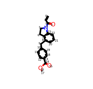 C=CC(=O)N1CCc2c(Cc3ccc(C(=O)OC)cc3)cccc21